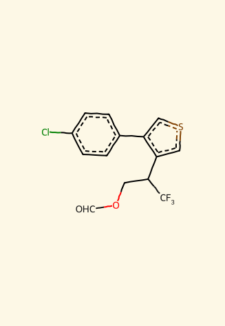 O=COCC(c1cscc1-c1ccc(Cl)cc1)C(F)(F)F